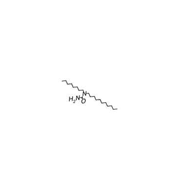 CCCCCCCCCCCN(CCCCCCCC)C(N)=O